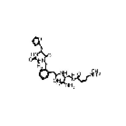 CNC/C=C\C(=O)NC[C@H](NC(O)Cc1ccccc1CNC(=O)[C@H](Cc1ccco1)NC(C)=O)C(N)=O